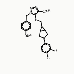 COc1ccc(Cn2nnc(C(=O)O)c2OCC2C3CN(c4ccc(Cl)c(Cl)c4)CC23)cc1